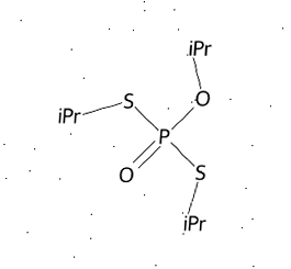 CC(C)OP(=O)(SC(C)C)SC(C)C